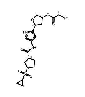 CC(C)NC(=O)O[C@@H]1CO[C@H](c2cc(NC(=O)[C@@H]3CCN(S(=O)(=O)C4CC4)C3)n[nH]2)C1